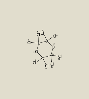 ClC1(Cl)OC(Cl)(Cl)C(Cl)(Cl)OC1(Cl)Cl